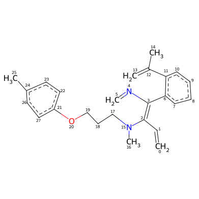 C=C/C(=C(/N=C)c1ccccc1C(=C)C)N(C)CCCOc1ccc(C)cc1